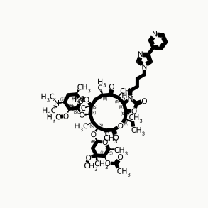 CC[C@H]1OC(=O)[C@H](C)[C@@H](O[C@H]2C[C@@](C)(OC)[C@@H](OC(C)=O)[C@H](C)O2)[C@H](C)[C@@H](O[C@@H]2O[C@H](C)C[C@H](N(C)C)[C@H]2OC)[C@@](C)(OC)C[C@@H](C)C(=O)[C@H](C)[C@H]2N(CCCCn3cnc(-c4cccnc4)c3)C(=O)O[C@]12C